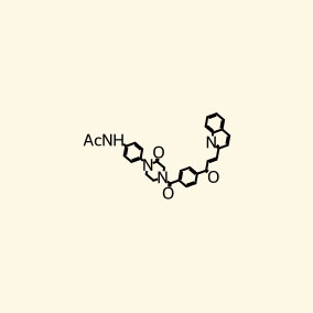 CC(=O)Nc1ccc(N2CCN(C(=O)c3ccc(C(=O)C=Cc4ccc5ccccc5n4)cc3)CC2=O)cc1